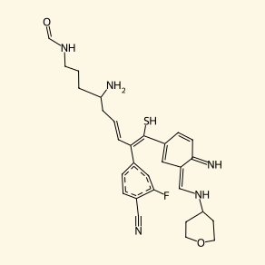 N#Cc1ccc(C(/C=C/CC(N)CCCNC=O)=C(/S)C2=C/C(=C/NC3CCOCC3)C(=N)C=C2)cc1F